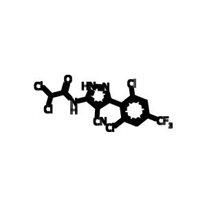 N#Cc1c(-c2c(Cl)cc(C(F)(F)F)cc2Cl)n[nH]c1NC(=O)C(Cl)Cl